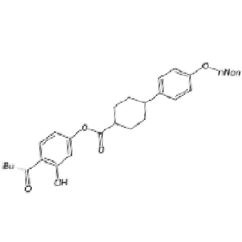 CCCCCCCCCOc1ccc(C2CCC(C(=O)Oc3ccc(C(=O)[C@@H](C)CC)c(O)c3)CC2)cc1